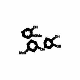 COc1cccc(O)c1.COc1ccccc1O.Oc1ccccc1O